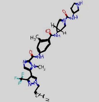 C=CCn1cc(-c2cnc(C(=O)Nc3ccc(C(=O)N[C@H]4[C@@H]5CN(C(=O)N[C@H]6CCNC6)C[C@@H]54)c(C)c3)n2C)c(C(F)(F)F)n1